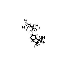 CCC(C)(C)C(=O)OC1CCC(C(O)(C(F)(F)F)C(F)(F)F)C1